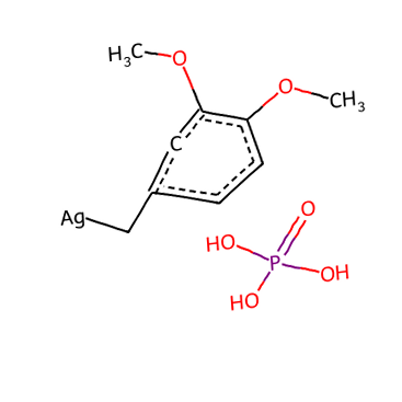 COc1ccc([CH2][Ag])cc1OC.O=P(O)(O)O